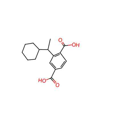 CC(c1cc(C(=O)O)ccc1C(=O)O)C1CCCCC1